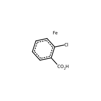 O=C(O)c1ccccc1Cl.[Fe]